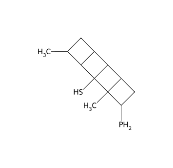 CC1CC2C1C1(S)C2C2CC(P)C21C